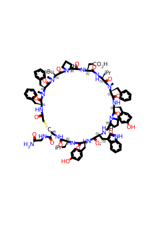 CCCC[C@H]1C(=O)N2CCC[C@@H]2C(=O)N[C@@H](CC(=O)O)C(=O)N[C@@H](C(C)C)C(=O)N(C)[C@@H](Cc2ccccc2)C(=O)N[C@@H](Cc2ccc(O)cc2)C(=O)N2CCC[C@@H]2C(=O)N[C@@H]([C@@H](C)c2c[nH]c3ccccc23)C(=O)N[C@@H](Cc2ccc(O)cc2)C(=O)N[C@@H](CC(C)C)C(=O)N[C@H](C(=O)NCC(N)=O)CSCC(=O)N[C@@H](Cc2ccccc2)C(=O)N(C)[C@@H](Cc2ccccc2)C(=O)N1C